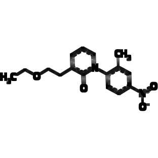 CCOCCc1cccn(-c2ccc([N+](=O)[O-])cc2C)c1=O